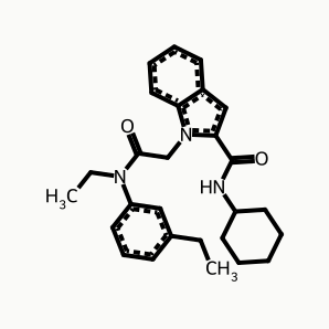 CCc1cccc(N(CC)C(=O)Cn2c(C(=O)NC3CCCCC3)cc3ccccc32)c1